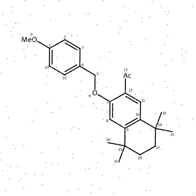 COc1ccc(COc2cc3c(cc2C(C)=O)C(C)(C)CCC3(C)C)cc1